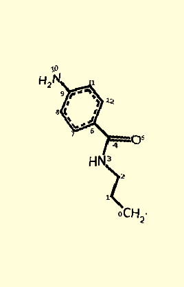 [CH2]CCNC(=O)c1ccc(N)cc1